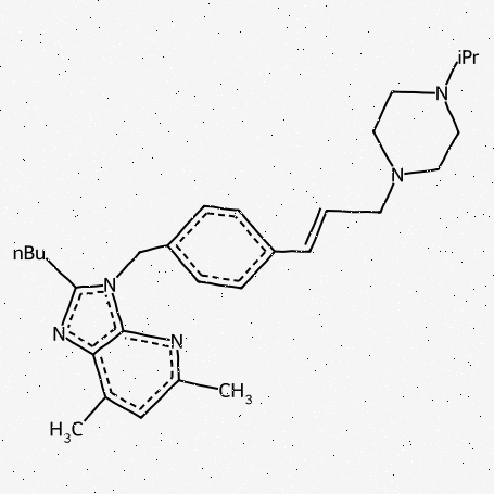 CCCCc1nc2c(C)cc(C)nc2n1Cc1ccc(/C=C/CN2CCN(C(C)C)CC2)cc1